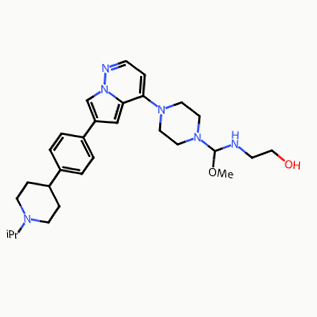 COC(NCCO)N1CCN(c2ccnn3cc(-c4ccc(C5CCN(C(C)C)CC5)cc4)cc23)CC1